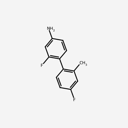 Cc1cc(F)ccc1-c1ccc(N)cc1F